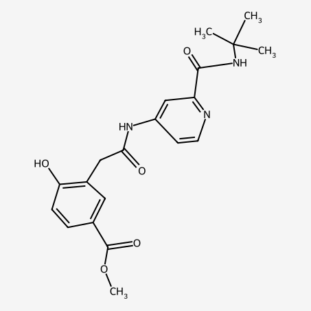 COC(=O)c1ccc(O)c(CC(=O)Nc2ccnc(C(=O)NC(C)(C)C)c2)c1